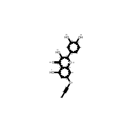 CC#COc1cc(O)c2c(=O)c(O)c(-c3ccc(O)c(O)c3)oc2c1